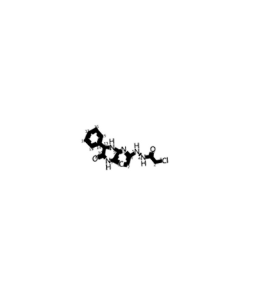 O=C(CCl)NNc1ccc2c(n1)NC(c1ccccc1)C(=O)N2